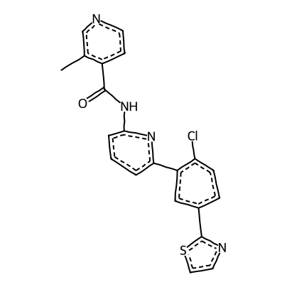 Cc1cnccc1C(=O)Nc1cccc(-c2cc(-c3nccs3)ccc2Cl)n1